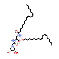 CCCCC/C=C\C/C=C\CCCCCCCCOC(=O)C(CNC(=O)CCCCCCC/C=C\C/C=C\CCCCC)NC(=O)CN1C[C@H](OC)[C@H](OC)C1